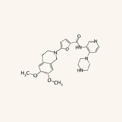 COc1cc2c(cc1OC)CN(c1ccc(C(=O)Nc3cnccc3N3CCNCC3)o1)CC2